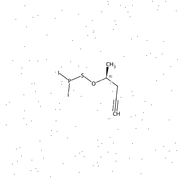 C#CC[C@H](C)OSP(I)I